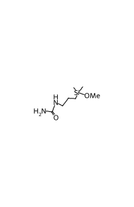 CO[Si](C)(C)CCCNC(N)=O